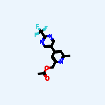 CC(=O)OCc1cc(-c2cnc(C(F)(F)F)nc2)cc(C)n1